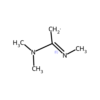 [CH2]/C(=N\C)N(C)C